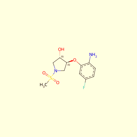 CS(=O)(=O)N1C[C@H](Oc2cc(F)ccc2N)[C@@H](O)C1